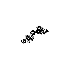 Cc1nc(-c2cc(-c3cc4c(c(S(C)(=O)=O)c3)C(=O)N([C@@H](C)C3CC3)C4)ccn2)[nH]c1C(=O)NC1CCOC1